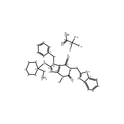 Cn1c(=O)n(Cc2nc3ccccc3s2)c(=O)c2c1nc(SC1(CN)CCCCC1)n2Cc1ccccc1.O=C(O)C(F)(F)F